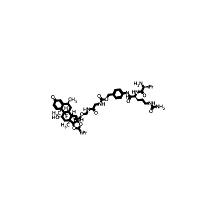 CCCC1O[C@@H]2C[C@H]3[C@@H]4C[C@H](C)C5=CC(=O)C=C[C@]5(C)[C@@]4(F)[C@@H](O)C[C@]3(C)[C@]2(C(=O)COCNC(=O)CNC(=O)OCc2ccc(NC(=O)[C@H](CCCNC(N)=O)NC(=O)[C@@H](N)C(C)C)cc2)O1